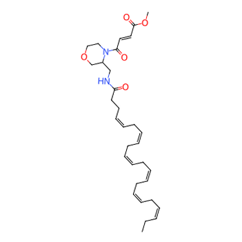 CC/C=C\C/C=C\C/C=C\C/C=C\C/C=C\C/C=C\CCC(=O)NCC1COCCN1C(=O)C=CC(=O)OC